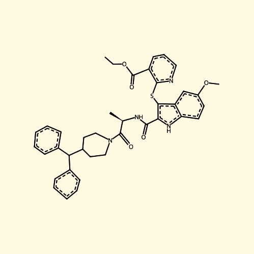 CCOC(=O)c1cccnc1Sc1c(C(=O)N[C@H](C)C(=O)N2CCC(C(c3ccccc3)c3ccccc3)CC2)[nH]c2ccc(OC)cc12